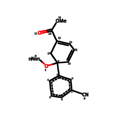 CCCCCCCCCOC1(c2cccc(C#N)c2)C=CC=C(C(=O)OC)C1